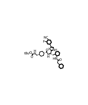 CC(C)(C)OC(=O)NC[C@H]1CC[C@H](C(=O)N[C@@H](Cc2ccccc2NC(=O)Cc2ccccc2)c2nc(-c3ccc(C#N)c(F)c3)c[nH]2)CC1